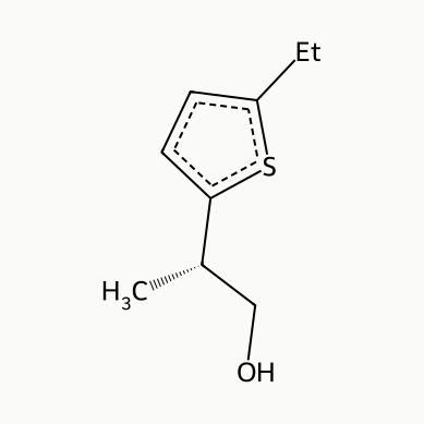 CCc1ccc([C@@H](C)CO)s1